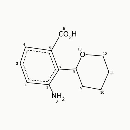 Nc1cccc(C(=O)O)c1C1CCCCO1